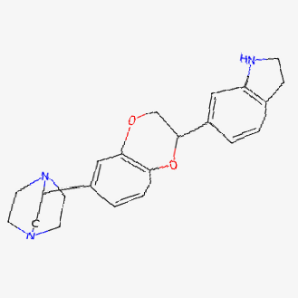 c1cc2c(cc1C1COc3cc(C4CN5CCN4CC5)ccc3O1)NCC2